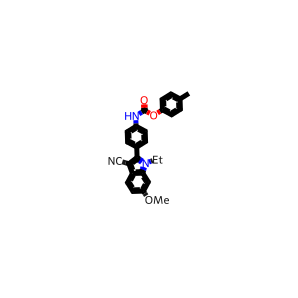 CCn1c(-c2ccc(NC(=O)Oc3ccc(C)cc3)cc2)c(C#N)c2ccc(OC)cc21